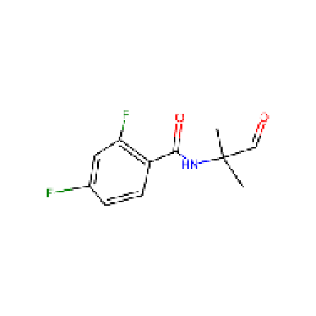 CC(C)(C=O)NC(=O)c1ccc(F)cc1F